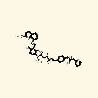 Cc1ccc2cccc(OCc3c(Cl)ccc(N(C)C(=O)CNC(=O)/C=C/c4ccc(NC(=O)Cc5ccccn5)cc4)c3Cl)c2n1